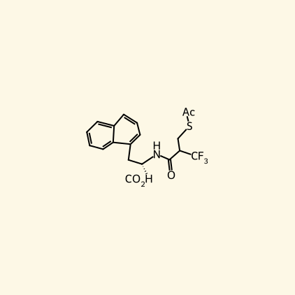 CC(=O)SCC(C(=O)N[C@@H](Cc1cccc2ccccc12)C(=O)O)C(F)(F)F